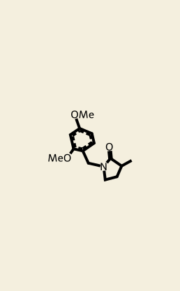 COc1ccc(CN2CCC(C)C2=O)c(OC)c1